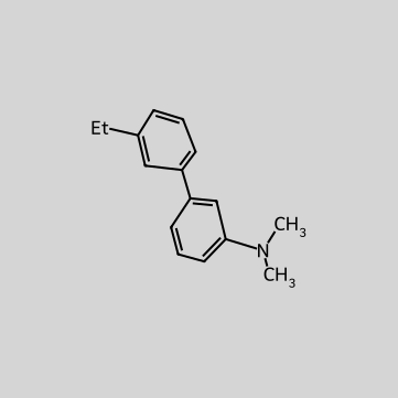 CCc1cccc(-c2cccc(N(C)C)c2)c1